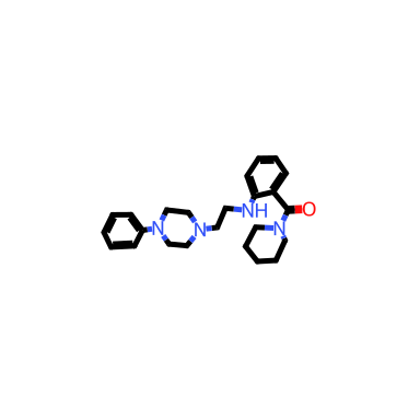 O=C(c1ccccc1NCCN1CCN(c2ccccc2)CC1)N1CCCCC1